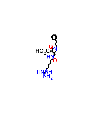 N=C(N)NCCCCCC(=O)NC[C@@H]1CN(CCCc2ccccc2)C(=O)[C@H]1CC(=O)O